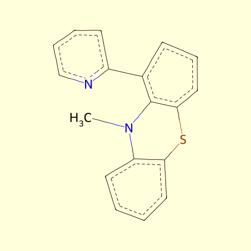 CN1c2ccccc2Sc2cccc(-c3ccccn3)c21